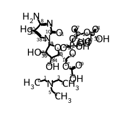 CCN(CC)CC.Nc1nc(=O)n([C@@H]2O[C@H](C(OC(=O)O)OP(=O)(O)OP(=O)(O)OP(=O)(O)O)[C@@H](O)[C@H]2O)c[c]1[Hg]